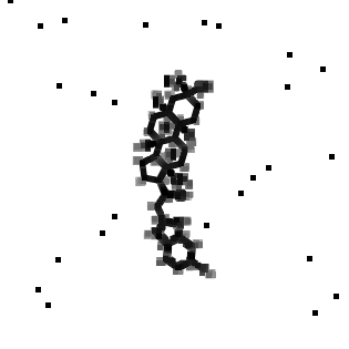 C[C@@]1(O)CC[C@H]2[C@H](CC[C@@H]3[C@@H]2CC[C@]2(C)[C@@H](C(=O)Cn4nc5ccc(F)cc5n4)CC[C@@H]32)C1